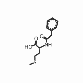 CSCC[C@H](NC(=O)Cc1ccccc1)C(=O)O